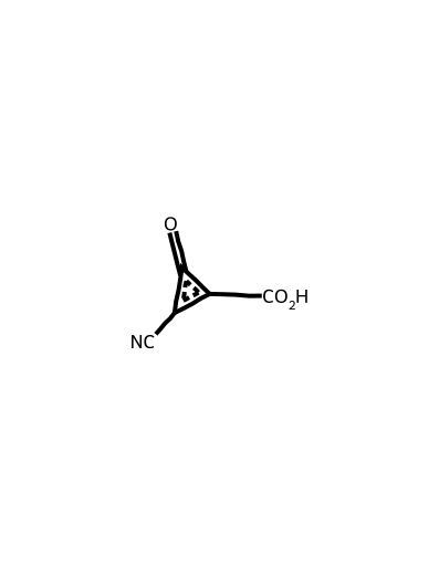 N#Cc1c(C(=O)O)c1=O